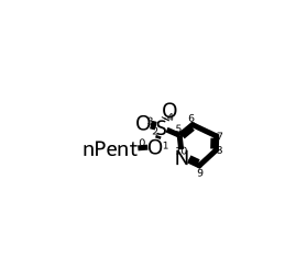 CCCCCOS(=O)(=O)c1ccccn1